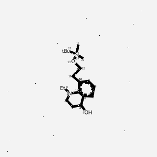 CCN1CCC(O)c2cccc(CCO[Si](C)(C)C(C)(C)C)c21